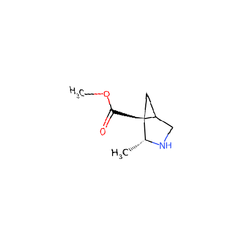 COC(=O)[C@@]12CC1CN[C@@H]2C